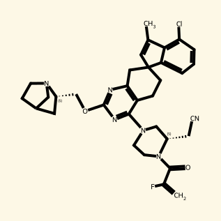 C=C(F)C(=O)N1CCN(c2nc(OC[C@@H]3CC4CCN3C4)nc3c2CCC2(C=C(C)c4c(Cl)cccc42)C3)C[C@@H]1CC#N